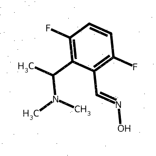 CC(c1c(F)ccc(F)c1/C=N/O)N(C)C